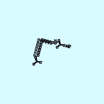 O.O.O.O.O.O.O.O.O.O.O.O.O=S([O-])[O-].O=S([O-])[O-].[Al+3].[K+]